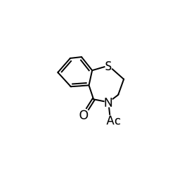 CC(=O)N1CCSc2ccccc2C1=O